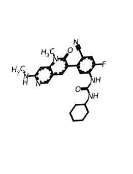 CNc1cc2c(cn1)cc(-c1cc(NC(=O)NC3CCCCC3)c(F)cc1C#N)c(=O)n2C